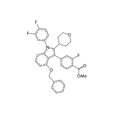 COC(=O)c1ccc(-c2c(C3CCOCC3)n(-c3ccc(F)c(F)c3)c3cccc(OCc4ccccc4)c23)cc1F